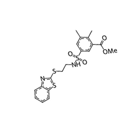 COC(=O)c1cc(S(=O)(=O)NCCSc2nc3ccccc3s2)cc(C)c1C